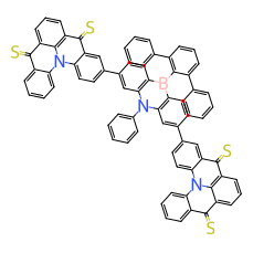 S=c1c2ccccc2n2c3ccc(-c4ccc5c(c4)N(c4ccccc4)c4cc(-c6ccc7c(c6)c(=S)c6cccc8c(=S)c9ccccc9n7c86)ccc4B5c4c(-c5ccccc5)cccc4-c4ccccc4)cc3c(=S)c3cccc1c32